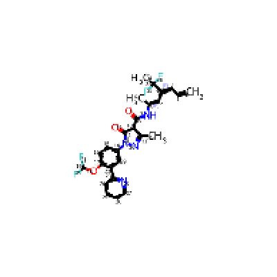 C=C/C=C(\C=C(/C)NC(=O)C1C(=O)N(c2ccc(OC(F)F)c(-c3ccccn3)c2)N=C1C)C(C)(F)F